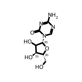 Nc1ncn([C@@H]2O[C@H](CO)[C@@H](O)C2O)c(=O)n1